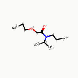 CCCCCCCCCCCCN(C(=O)COCCOC)C(C)CCCCCCCCCC